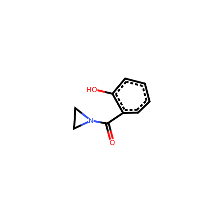 O=C(c1ccccc1O)N1CC1